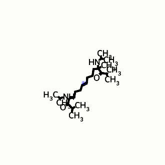 CC(C)NC(CCC/C=C/CCCC(C)(NC(C)C)C(=O)C(C)C)C(=O)C(C)C